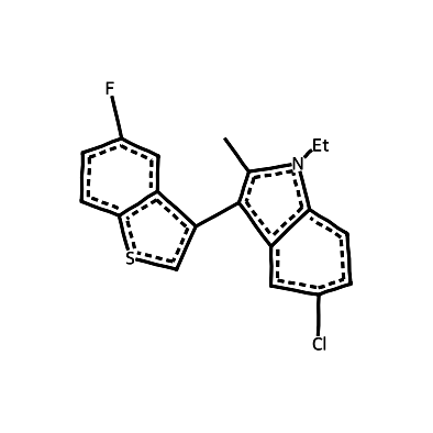 CCn1c(C)c(-c2csc3ccc(F)cc23)c2cc(Cl)ccc21